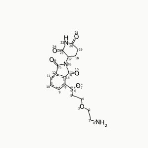 NCCOCC[S+]([O-])c1cccc2c1C(=O)N(C1CCC(=O)NC1=O)C2=O